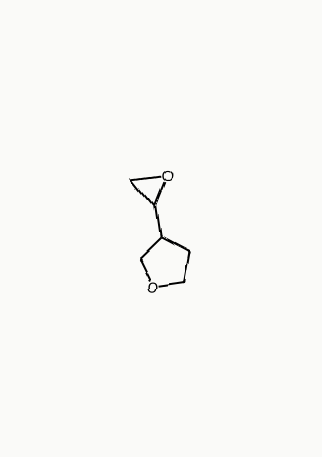 C1CC(C2CO2)CO1